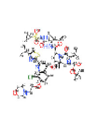 C=C[C@@H]1C[C@]1(NC(=O)[C@@H]1C[C@@H](Oc2cc(-c3nc(C(C)C)cs3)nc3c(Cl)c(OCCN4CCOCC4)ccc23)[C@H]2CN(C(=O)OC(C)(C)C)C(=C(C)C)C(=O)N21)C(=O)NS(=O)(=O)C1CC1